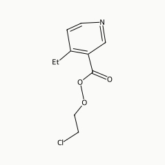 CCc1ccncc1C(=O)OOCCCl